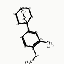 COc1ccc(C23CCC(CC2)CC3)cc1C